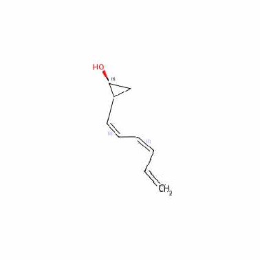 C=C/C=C\C=C/C1C[C@@H]1O